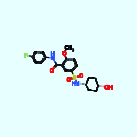 COc1ccc(S(=O)(=O)N[C@H]2CC[C@@H](O)CC2)cc1C(=O)Nc1ccc(F)cc1